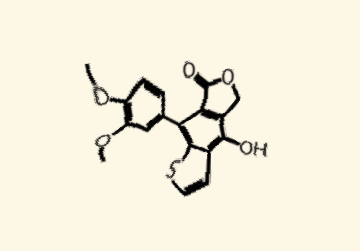 COc1ccc(-c2c3c(c(O)c4ccsc24)COC3=O)cc1OC